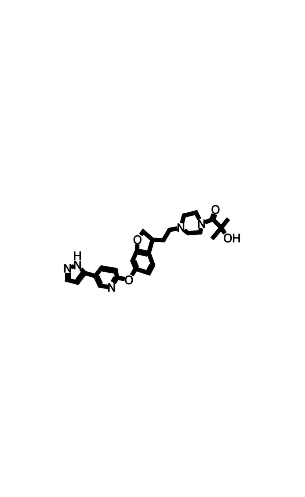 CC(C)(O)C(=O)N1CCN(CCC2COc3cc(Oc4ccc(-c5ccn[nH]5)cn4)ccc32)CC1